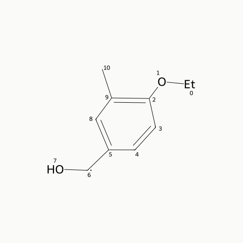 CCOc1ccc([CH]O)cc1C